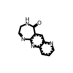 O=C1NCC=Nc2nc3cccnc3cc21